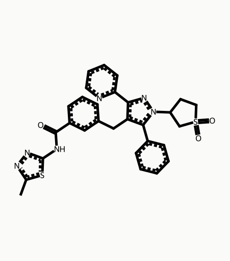 Cc1nnc(NC(=O)c2cccc(Cc3c(-c4ccccn4)nn(C4CCS(=O)(=O)C4)c3-c3ccccc3)c2)s1